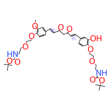 COc1cc(/C=C/C(=O)CC(=O)/C=C/c2ccc(OCCOCCNC(=O)OC(C)(C)C)c(O)c2)ccc1OCCOCCNC(=O)OC(C)(C)C